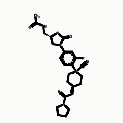 CC(=O)NC[C@H]1CN(c2ccc([N+]3(C#N)CCC(=CC(=O)N4CCCC4)CC3)c(F)c2)C(=O)O1